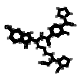 Cc1cc(C(=O)N[C@@H](CCCCN(C=O)[C@H]2CCCN2C)c2nc3cc(Cl)ccc3[nH]2)ccc1C(=O)N1CCCC1